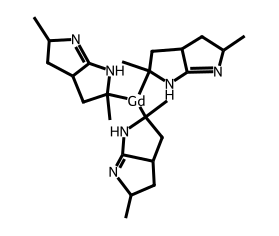 CC1CC2C[C](C)([Gd]([C]3(C)CC4CC(C)N=C4N3)[C]3(C)CC4CC(C)N=C4N3)NC2=N1